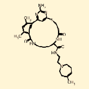 CC1=CCCN(CCNC(=O)C2CCCNC(=O)c3cc(c(C)cc3C)-c3cc(nc(N)n3)SCCC(=O)N2)CC1